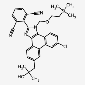 CC(C)(O)Cc1ccc2c(c1)c1cc(Cl)ccc1c1c2nc(-c2c(C#N)cccc2C#N)n1COCC[Si](C)(C)C